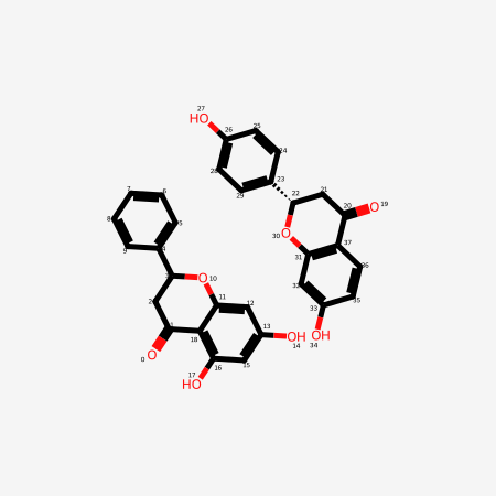 O=C1CC(c2ccccc2)Oc2cc(O)cc(O)c21.O=C1C[C@@H](c2ccc(O)cc2)Oc2cc(O)ccc21